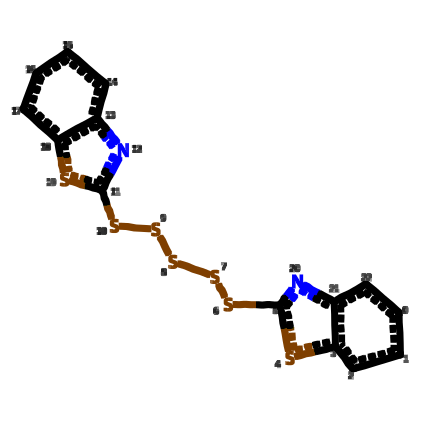 c1ccc2sc(SSSSSc3nc4ccccc4s3)nc2c1